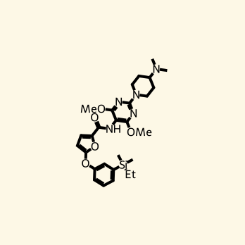 CC[Si](C)(C)c1cccc(Oc2ccc(C(=O)Nc3c(OC)nc(N4CCC(N(C)C)CC4)nc3OC)o2)c1